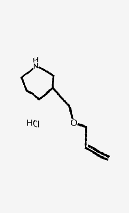 C=CCOCC1CCCNC1.Cl